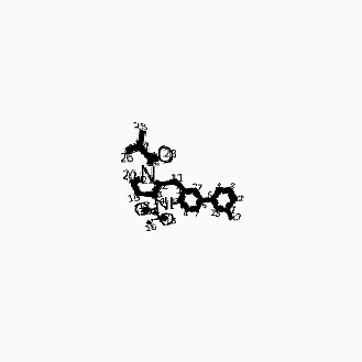 Cc1cccc(-c2cccc(CC3C(NS(C)(=O)=O)CCN3C(=O)C(C)C)c2)c1